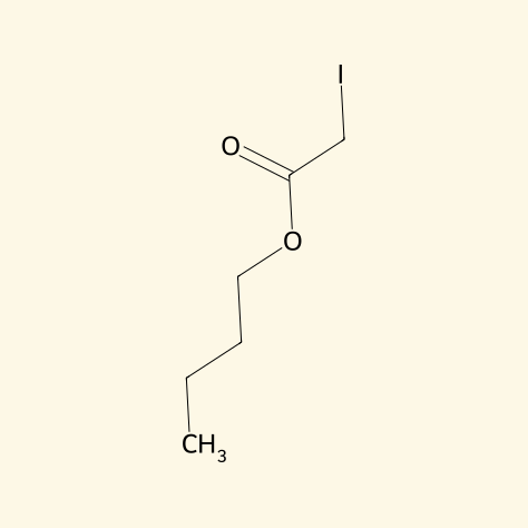 CCCCOC(=O)CI